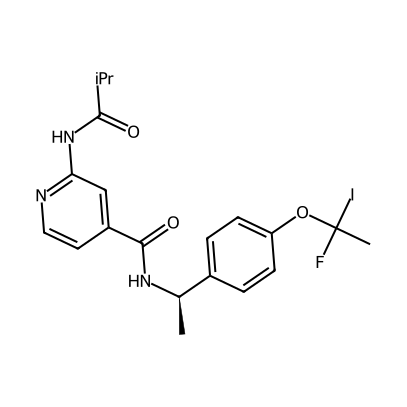 CC(C)C(=O)Nc1cc(C(=O)N[C@H](C)c2ccc(OC(C)(F)I)cc2)ccn1